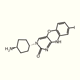 N[C@H]1CC[C@H](n2cc3c(nc2=O)Nc2cc(I)ccc2O3)CC1